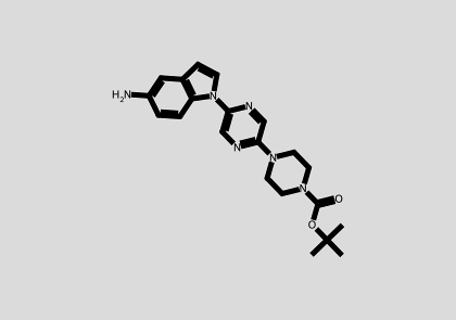 CC(C)(C)OC(=O)N1CCN(c2cnc(-n3ccc4cc(N)ccc43)cn2)CC1